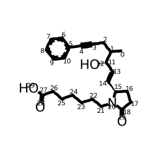 CC(CC#Cc1ccccc1)[C@@H](O)/C=C/[C@H]1CCC(=O)N1CCCCCCC(=O)O